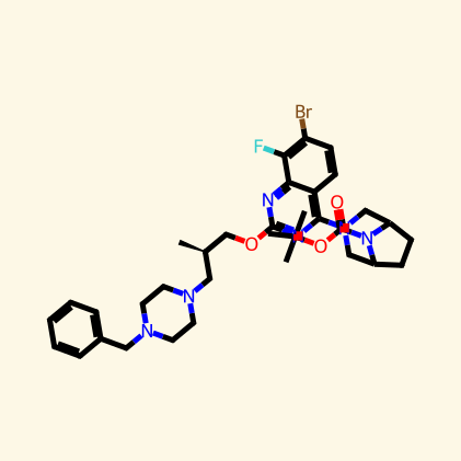 C[C@@H](COc1nc(N2CC3CCC(C2)N3C(=O)OC(C)(C)C)c2ccc(Br)c(F)c2n1)CN1CCN(Cc2ccccc2)CC1